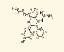 Cc1nc(N)nc2c1/C(=N/OCCO)C[C@H](c1ccc(F)cc1-c1cccnc1)C2